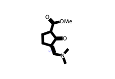 COC(=O)C1CC/C(=C/N(C)C)C1=O